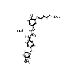 Br.CCCCCCCCCCCCCCOc1cc(OCC(=O)Nc2ccc(CN3C=C(C)SC3)cc2)ccc1Cl